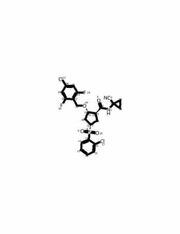 N#CC1(NC(=O)[C@H]2C[C@H](S(=O)(=O)c3ccccc3Cl)C[C@@H]2OCc2c(F)cc(Cl)cc2F)CC1